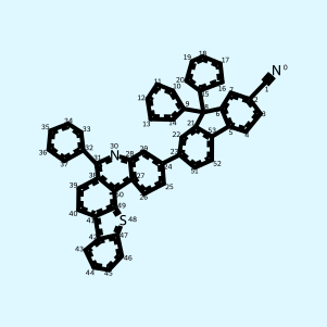 N#Cc1ccc2c(c1)C(c1ccccc1)(c1ccccc1)c1cc(-c3ccc4c(c3)nc(-c3ccccc3)c3ccc5c6ccccc6sc5c34)ccc1-2